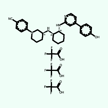 N#Cc1ccc(N2CCC[C@H](N[C@@H]3CCCC[C@H]3Nc3cc(-c4ccc(O)cc4)ccn3)C2)cc1.O=C(O)C(F)(F)F.O=C(O)C(F)(F)F.O=C(O)C(F)(F)F